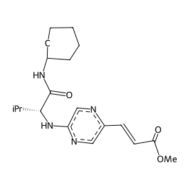 COC(=O)/C=C/c1cnc(N[C@@H](C(=O)NC2CCCCC2)C(C)C)cn1